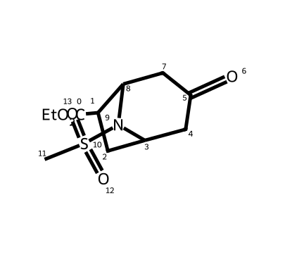 CCOC(=O)C1CC2CC(=O)CC1N2S(C)(=O)=O